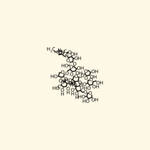 CCn1cc(CN(C(C)=O)[C@@H]2O[C@@H](CO)[C@@H](O[C@@H]3OC(CO[C@H]4OC[C@@H](O)[C@H](O)C4O[C@@H]4OC(CO)[C@H](O)[C@H](O)C4O)[C@@H](O[C@@H]4O[C@@H](CO[C@@H]5OC[C@H](O)C(O)C5O[C@@H]5OC(CO)[C@H](O)[C@H](O)C5O)[C@@H](O[C@@H]5OC(CO[C@H]6OC[C@@H](O)[C@H](O)C6O)[C@@H](O)[C@H](O)C5O)C(O)C4O)[C@H](O)C3O)C(O)C2O)nn1